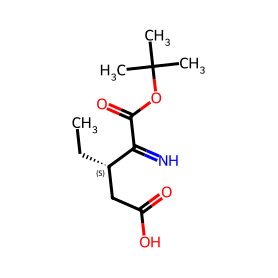 CC[C@@H](CC(=O)O)C(=N)C(=O)OC(C)(C)C